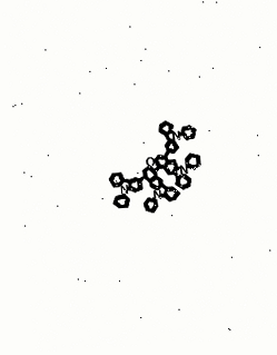 c1ccc(-n2c3ccccc3c3cc(-c4cc5oc6cc(-c7ccc8c(c7)c7ccccc7n8-c7ccccc7)c7cc8c(cc7c6c5c5cc6c7ccccc7n(-c7ccccc7)c6cc45)c4ccccc4n8-c4ccccc4)ccc32)cc1